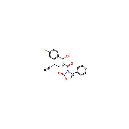 C#CCC[C@@H](C(=O)N1C(=O)OC[C@@H]1c1ccccc1)C(O)c1ccc(Cl)cc1